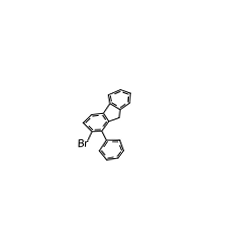 Brc1ccc2c(c1-c1ccccc1)Cc1ccccc1-2